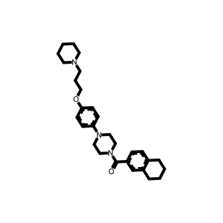 O=C(c1ccc2c(c1)CCCC2)N1CCN(c2ccc(OCCCN3CCCCC3)cc2)CC1